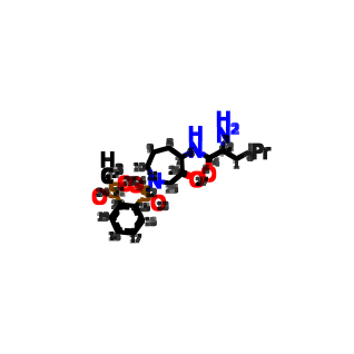 CC(C)C[C@H](N)C(=O)NC1CCCN(S(=O)(=O)c2ccccc2S(C)(=O)=O)CC1=O